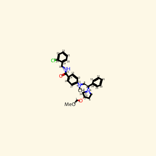 COCO[C@H]1CCN([C@@H](CN(C)c2ccc(C(=O)NCc3ccccc3Cl)cc2)c2ccccc2)C1